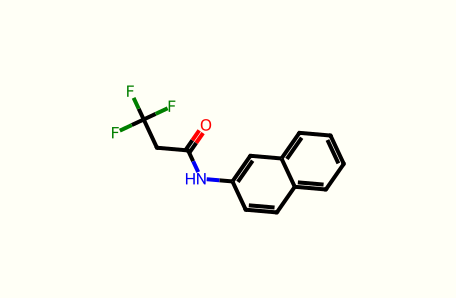 O=C(CC(F)(F)F)Nc1ccc2ccccc2c1